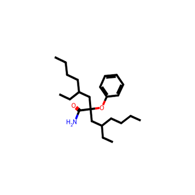 CCCCC(CC)CC(CC(CC)CCCC)(Oc1ccccc1)C(N)=O